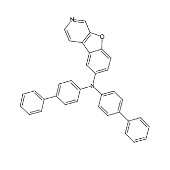 c1ccc(-c2ccc(N(c3ccc(-c4ccccc4)cc3)c3ccc4oc5cnccc5c4c3)cc2)cc1